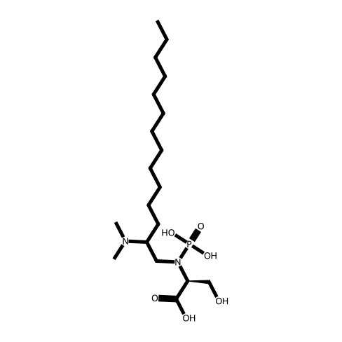 CCCCCCCCCCCCC(CN([C@@H](CO)C(=O)O)P(=O)(O)O)N(C)C